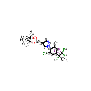 CCc1cc(C(F)(C(F)(F)F)C(F)(F)P)cc(Cl)c1-n1cc(B2OC(C)(C)C(C)(C)O2)cn1